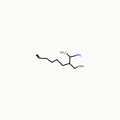 C=CCCCCC(COC)C(N)C(=O)O